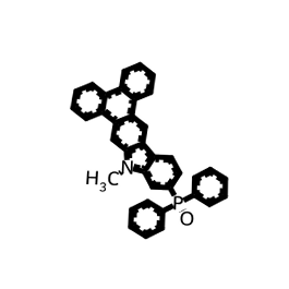 Cn1c2cc(P(=O)(c3ccccc3)c3ccccc3)ccc2c2cc3c4ccccc4c4ccccc4c3cc21